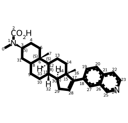 CN(C(=O)O)[C@H]1CC[C@@]2(C)C(CC[C@@H]3[C@@H]2CC[C@]2(C)C(c4ccc5ccncc5c4)=CC[C@@H]32)C1